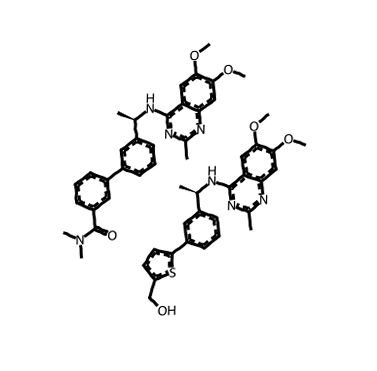 COc1cc2nc(C)nc(N[C@H](C)c3cccc(-c4ccc(CO)s4)c3)c2cc1OC.COc1cc2nc(C)nc(N[C@H](C)c3cccc(-c4cccc(C(=O)N(C)C)c4)c3)c2cc1OC